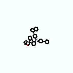 c1ccc(-c2ccc(N(c3ccc(-c4cccc5ccccc45)cc3)c3cccc4c3-c3ccccc3C43C4CC5CC(C4)CC3C5)cc2)cc1